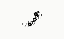 Cc1cc(NC(=O)N2CCC(n3c(=O)[nH]c4c(Br)cccc43)CC2)ccc1F